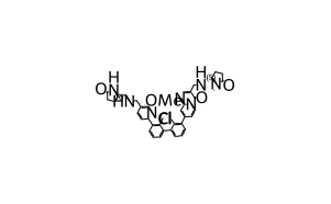 COc1nc(-c2cccc(-c3cccc(-c4ccn5c(=O)c(CNC[C@@H]6CCC(=O)N6C)cnc5c4)c3Cl)c2Cl)ccc1CNC[C@H]1CCC(=O)N1